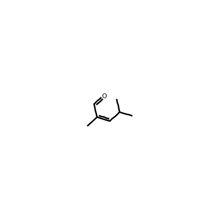 CC(C=O)=CC(C)C